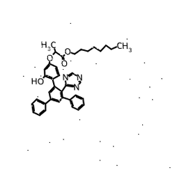 CCCCCCCCOC(=O)C(C)Oc1ccc(-c2cc(-c3ccccc3)cc(-c3ccccc3)c2-c2ncncn2)c(O)c1